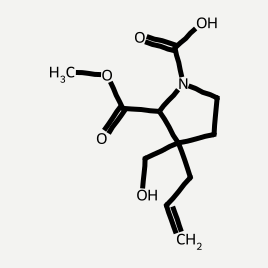 C=CCC1(CO)CCN(C(=O)O)C1C(=O)OC